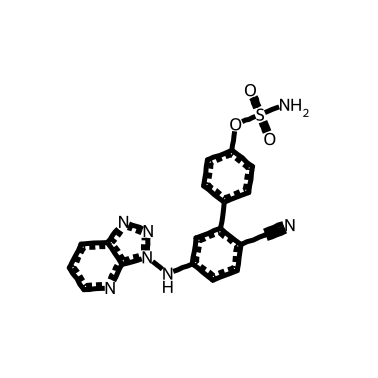 N#Cc1ccc(Nn2nnc3cccnc32)cc1-c1ccc(OS(N)(=O)=O)cc1